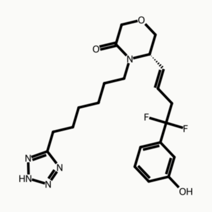 O=C1COC[C@H](C=CCC(F)(F)c2cccc(O)c2)N1CCCCCCc1nn[nH]n1